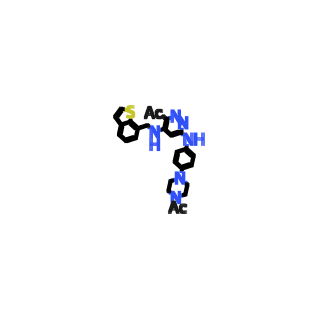 CC(=O)c1nnc(Nc2ccc(N3CCN(C(C)=O)CC3)cc2)cc1NCc1cccc2ccsc12